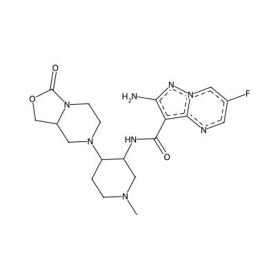 CN1CCC(N2CCN3C(=O)OCC3C2)C(NC(=O)c2c(N)nn3cc(F)cnc23)C1